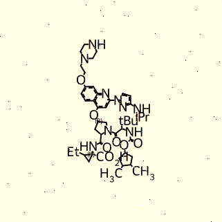 CCC1C[C@]1(NC(=O)C1C[C@@H](Oc2cc(-n3ccc(NC(C)C)n3)nc3cc(OCCN4CCNCC4)ccc23)CN1C(=O)C(NC(=O)OC1CC(C)C(C)C1)C(C)(C)C)C(=O)O